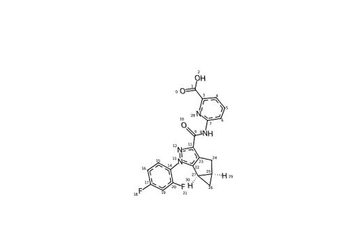 O=C(O)c1cccc(NC(=O)c2nn(-c3ccc(F)cc3F)c3c2C[C@H]2C[C@@H]32)n1